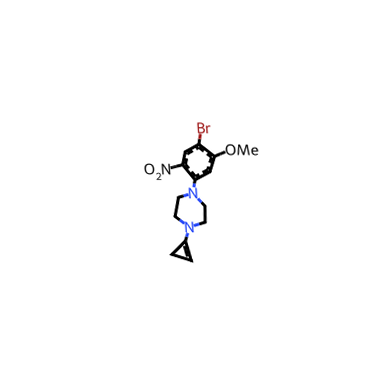 COc1cc(N2CCN(C3=CC3)CC2)c([N+](=O)[O-])cc1Br